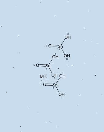 B.[O]=[Sn]([OH])[OH].[O]=[Sn]([OH])[OH].[O]=[Sn]([OH])[OH]